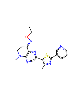 CCO/N=C1\CCN(C)c2ncc(-c3sc(-c4cccnc4)nc3C)nc21